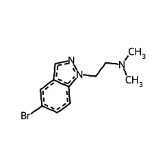 CN(C)CCn1ncc2cc(Br)ccc21